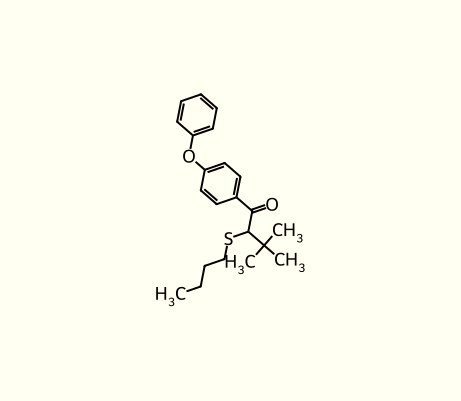 CCCCSC(C(=O)c1ccc(Oc2ccccc2)cc1)C(C)(C)C